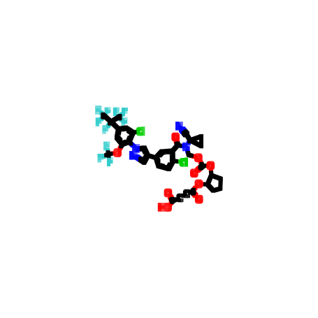 N#CC1(N(COC(=O)OC2CCCC2OC(=O)CCC(=O)O)C(=O)c2cc(-c3cnn(-c4c(Cl)cc(C(F)(C(F)(F)F)C(F)(F)F)cc4OC(F)(F)F)c3)ccc2Cl)CC1